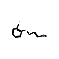 CCCCC=CCOc1ccc[c]c1F